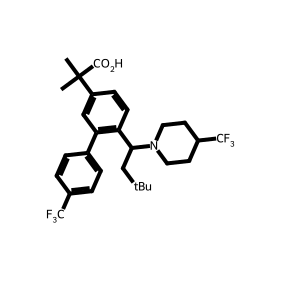 CC(C)(C)CC(c1ccc(C(C)(C)C(=O)O)cc1-c1ccc(C(F)(F)F)cc1)N1CCC(C(F)(F)F)CC1